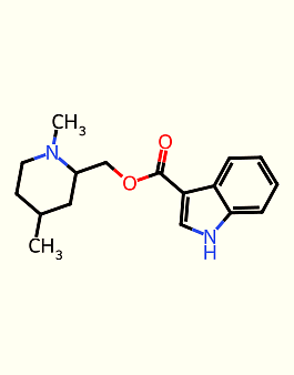 CC1CCN(C)C(COC(=O)c2c[nH]c3ccccc23)C1